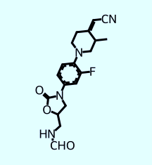 CC1CN(c2ccc(N3CC(CNC=O)OC3=O)cc2F)CC/C1=C/C#N